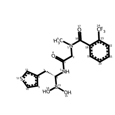 CN(CC(=O)N[C@@H](Cc1ccsc1)B(O)O)C(=O)c1ccccc1C(F)(F)F